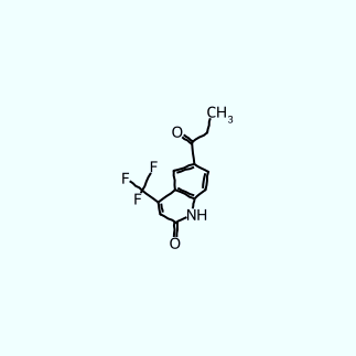 CCC(=O)c1ccc2[nH]c(=O)cc(C(F)(F)F)c2c1